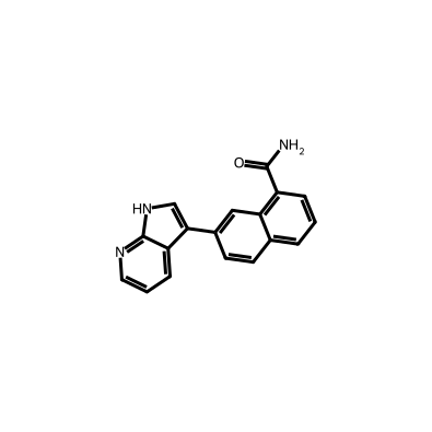 NC(=O)c1cccc2ccc(-c3c[nH]c4ncccc34)cc12